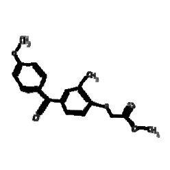 COC(=O)COc1ccc(C(=O)c2ccc(OC)cc2)cc1C